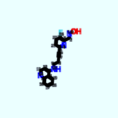 O/N=C/c1nc(C#CCCNc2ccnc3ccccc23)ccc1F